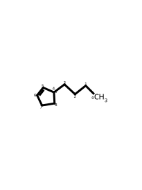 CCCC[C]1C=CCC1